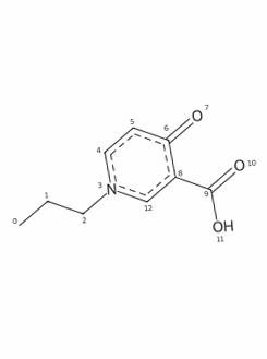 CCCn1ccc(=O)c(C(=O)O)c1